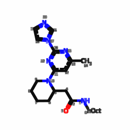 CCCCCCCCNC(=O)CC1CCCCN1c1cc(C)nc(-n2ccnc2)n1